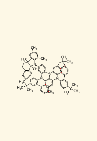 Cc1cc2c3c(c1)N(c1ccc(C(C)(C)C)cc1-c1ccccc1)c1cc4c(cc1B3c1ccc(N3c5c(C)cc(C)cc5C5(C)CCc6ccccc6C35C)cc1N2c1ccc(C(C)(C)C)cc1-c1ccccc1)CC(C)(C)C4